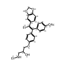 CCNCC(O)COc1ccc(C(=C(CC)c2ccc3c(c2)OCO3)c2ccc(OC(C)=O)cc2)cc1